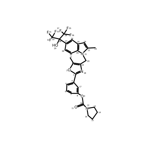 Cc1oc(-c2cccc(OC(=O)N3CCCC3)c2)nc1Cn1c(C)cc2cc(C(O)(C(F)(F)F)C(F)(F)F)ccc21